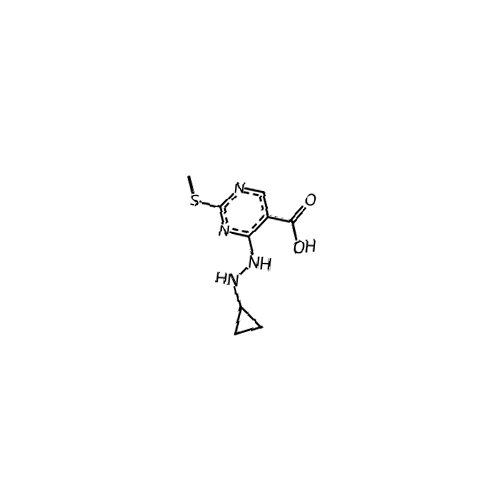 CSc1ncc(C(=O)O)c(NNC2CC2)n1